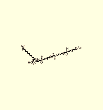 CC(=O)COCCOCCNC(=O)COCCOCCNC(=O)COCCOCCNC(=O)CC[C@@H](NC(=O)CCCCCCCCCN=[N+]=[N-])C(=O)O